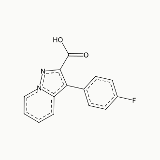 O=C(O)c1nn2ccccc2c1-c1ccc(F)cc1